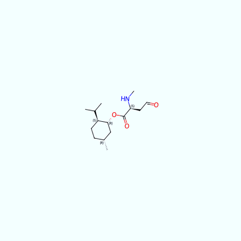 CN[C@@H](CC=O)C(=O)O[C@@H]1C[C@H](C)CC[C@H]1C(C)C